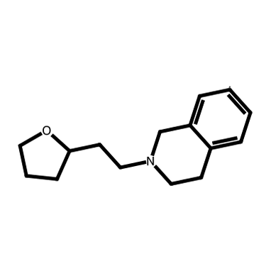 [c]1ccc2c(c1)CN(CCC1CCCO1)CC2